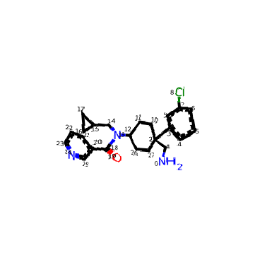 NCC1(c2cccc(Cl)c2)CCC(N(CC2CC2)C(=O)c2cccnc2)CC1